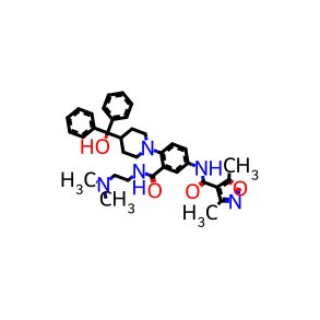 Cc1noc(C)c1C(=O)Nc1ccc(N2CCC(C(O)(c3ccccc3)c3ccccc3)CC2)c(C(=O)NCCN(C)C)c1